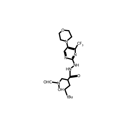 CC(C)(C)CCC(CN(O)C=O)C(=O)NNc1ncc(N2CCOCC2)c(C(F)(F)F)n1